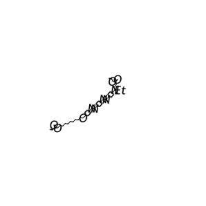 C=COC(=O)CCN(CC)c1ccc(N=Nc2ccc(N=Nc3ccc(OCCCCCCCCCOC(=O)C=C)cc3)cc2)cc1